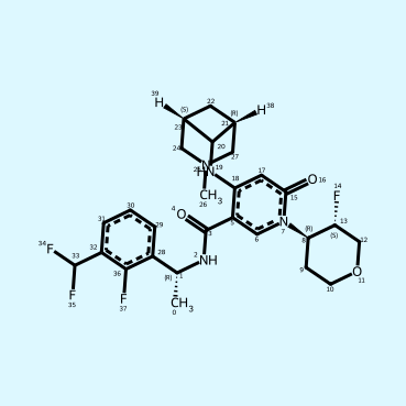 C[C@@H](NC(=O)c1cn([C@@H]2CCOC[C@H]2F)c(=O)cc1NC1[C@@H]2C[C@H]1CN(C)C2)c1cccc(C(F)F)c1F